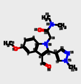 COc1ccc2c(c1)c(C=O)c(-c1cnn(C)c1)n2CC(=O)N(C)C